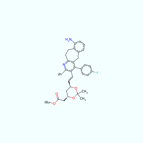 CC(C)c1nc2c(c(-c3ccc(F)cc3)c1/C=C/[C@@H]1C[C@H](CC(=O)OC(C)(C)C)OC(C)(C)O1)Cc1cccc(N)c1CC2